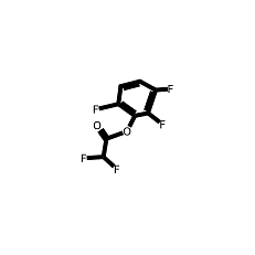 O=C(Oc1c(F)ccc(F)c1F)C(F)F